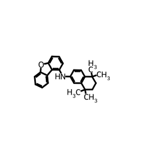 CC1(C)CCC(C)(C)c2cc(Nc3cccc4oc5ccccc5c34)ccc21